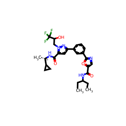 CCC(CC)NC(=O)c1cnc(-c2cccc(-c3cc(C(=O)N[C@@H](C)C4CC4)n(CC(O)C(F)(F)F)n3)c2)o1